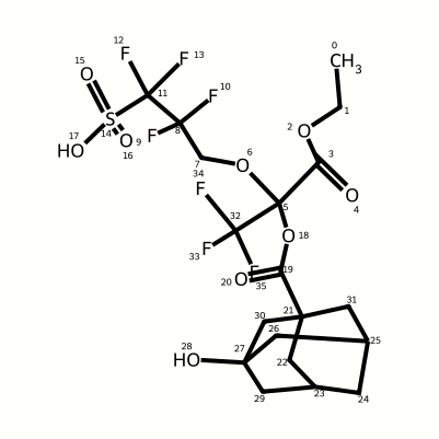 CCOC(=O)C(OCC(F)(F)C(F)(F)S(=O)(=O)O)(OC(=O)C12CC3CC(CC(O)(C3)C1)C2)C(F)(F)F